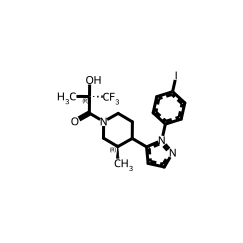 C[C@H]1CN(C(=O)[C@@](C)(O)C(F)(F)F)CCC1c1ccnn1-c1ccc(I)cc1